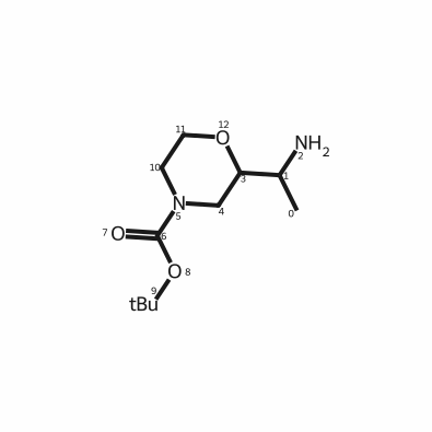 CC(N)C1CN(C(=O)OC(C)(C)C)CCO1